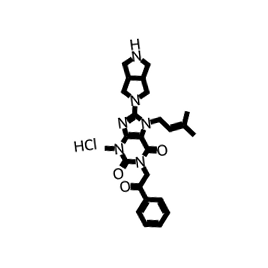 CC(C)=CCn1c(N2CC3CNCC3C2)nc2c1c(=O)n(CC(=O)c1ccccc1)c(=O)n2C.Cl